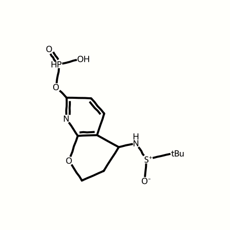 CC(C)(C)[S+]([O-])NC1CCOc2nc(O[PH](=O)O)ccc21